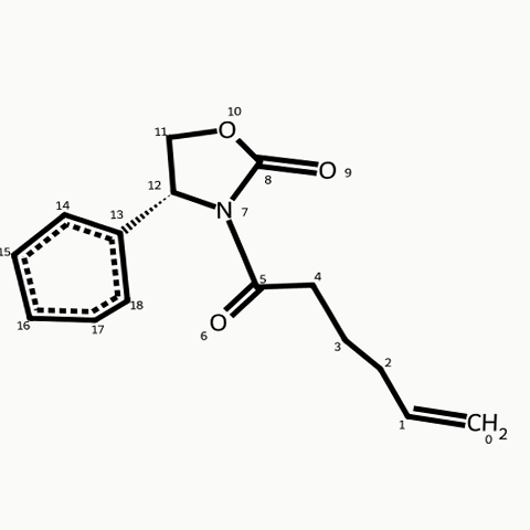 C=CCCCC(=O)N1C(=O)OC[C@H]1c1ccccc1